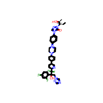 CC[C@@H]([C@H](C)O)n1ncn(-c2ccc(N3CCN(c4ccc(-c5ccc(C(F)(F)C(O)(Cn6cncn6)c6ccc(F)cc6F)nc5)cc4)CC3)cc2)c1=O